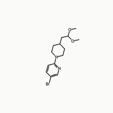 COC(CC1CCN(c2ccc(Br)cn2)CC1)OC